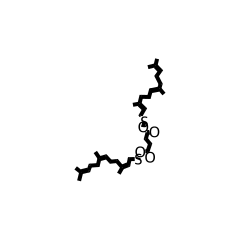 CC(C)=CCCC(C)=CCCC(C)=CCSOC(=O)CCC(=O)OSCC=C(C)CCC=C(C)CCC=C(C)C